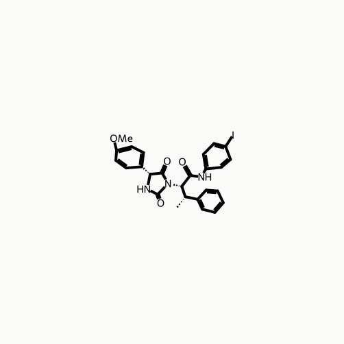 COc1ccc([C@H]2NC(=O)N([C@H](C(=O)Nc3ccc(I)cc3)[C@@H](C)c3ccccc3)C2=O)cc1